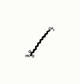 CCCCCC=CCCCCCCCCCC(=O)C(=O)O